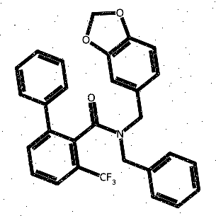 O=C(c1c(-c2ccccc2)cccc1C(F)(F)F)N(Cc1ccccc1)Cc1ccc2c(c1)OCO2